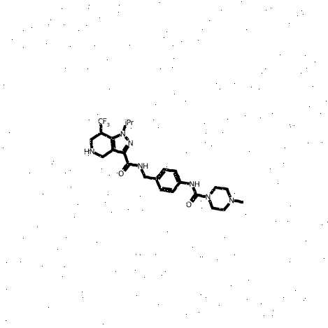 CC(C)n1nc(C(=O)NCc2ccc(NC(=O)N3CCN(C)CC3)cc2)c2c1C(C(F)(F)F)CNC2